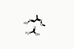 CON=C(C)C=NO.NC(=O)O